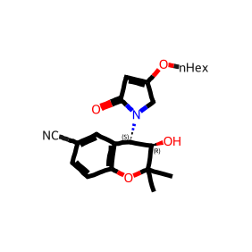 CCCCCCOC1=CC(=O)N([C@H]2c3cc(C#N)ccc3OC(C)(C)[C@@H]2O)C1